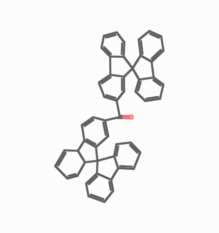 O=C(c1ccc2c(c1)C1(c3ccccc3-c3ccccc31)c1ccccc1-2)c1ccc2c(c1)C1(c3ccccc3-c3ccccc31)C1C=CC=CC21